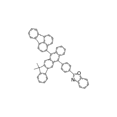 CC1(C)c2ccccc2-c2cc3c(-c4ccc(-c5nc6ccccc6o5)cc4)c4ccccc4c(-c4ccc5c6c(cccc46)-c4ccccc4-5)c3cc21